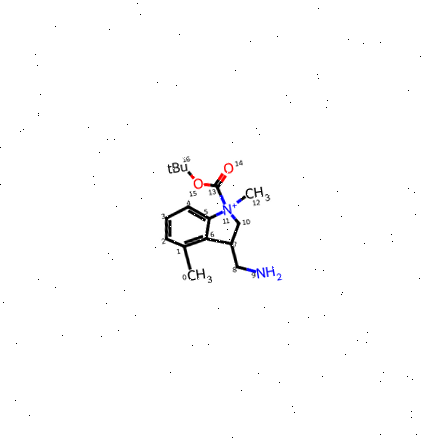 Cc1cccc2c1C(CN)C[N+]2(C)C(=O)OC(C)(C)C